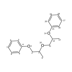 CC(COc1ccccc1)OCC(C)Oc1ccccc1